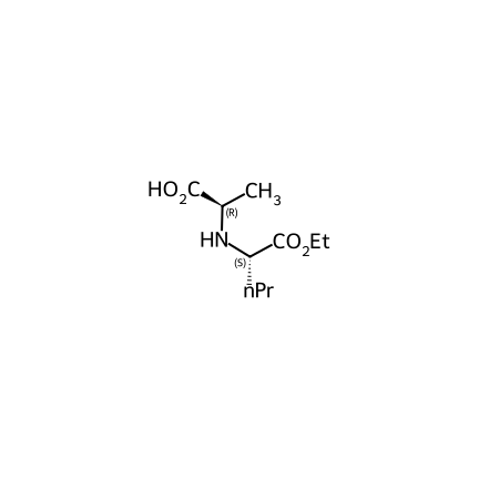 CCC[C@H](N[C@H](C)C(=O)O)C(=O)OCC